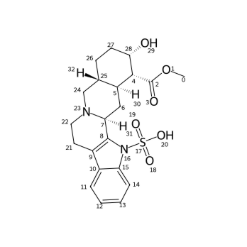 COC(=O)[C@@H]1[C@H]2C[C@H]3c4c(c5ccccc5n4S(=O)(=O)O)CCN3C[C@@H]2CC[C@@H]1O